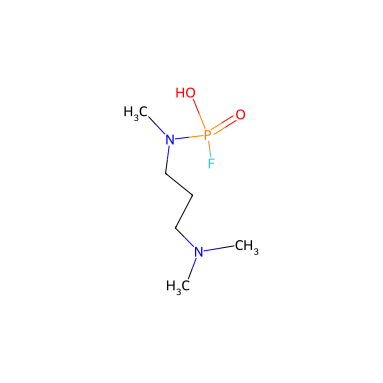 CN(C)CCCN(C)P(=O)(O)F